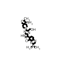 C[C@@H]1OCC2(CCN(c3nc4[nH]nc(-c5ccc6ncc(N(C)C)nc6c5Cl)c4nc3CO)CC2)[C@@H]1N